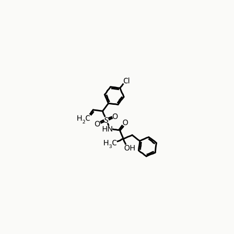 C=CC(c1ccc(Cl)cc1)S(=O)(=O)NC(=O)C(C)(O)Cc1ccccc1